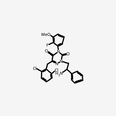 COc1cccc(-n2c(=O)c(Cc3c(Cl)cccc3Cl)nn(CC(N)c3ccccc3)c2=O)c1F